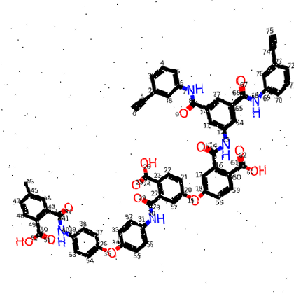 C#Cc1cccc(NC(=O)c2cc(NC(=O)c3cc(Oc4ccc(C(=O)O)c(C(=O)Nc5ccc(Oc6ccc(NC(=O)c7cc(C)ccc7C(=O)O)cc6)cc5)c4)ccc3C(=O)O)cc(C(=O)Nc3cccc(C#C)c3)c2)c1